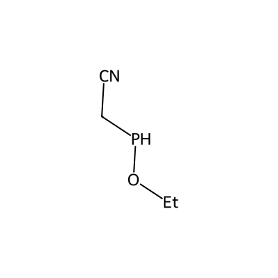 CCOPCC#N